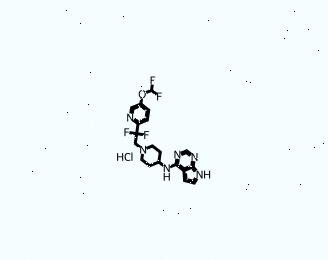 Cl.FC(F)Oc1ccc(C(F)(F)CN2CCC(Nc3ncnc4[nH]ccc34)CC2)nc1